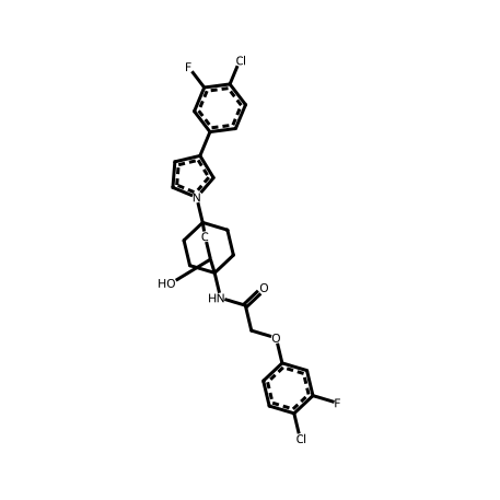 O=C(COc1ccc(Cl)c(F)c1)NC12CCC(n3ccc(-c4ccc(Cl)c(F)c4)c3)(CC1)CC2O